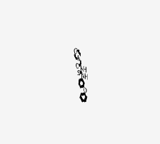 O=C(CN1CCOCC1)NC(=S)Nc1cccc(Oc2ccccc2)c1